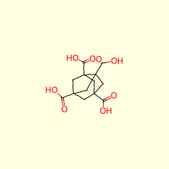 O=C(O)C12CC3(C(=O)O)CC(C(=O)O)(C1)C(C(=O)O)(C2)C3